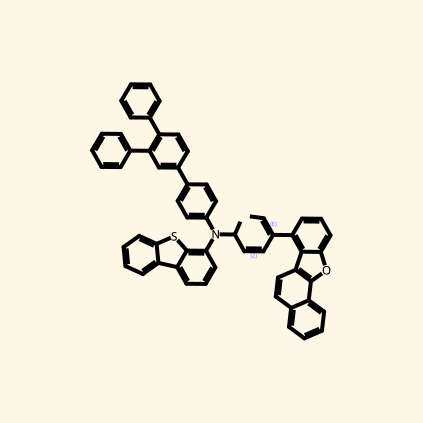 C/C=C(\C=C/C(C)N(c1ccc(-c2ccc(-c3ccccc3)c(-c3ccccc3)c2)cc1)c1cccc2c1sc1ccccc12)c1cccc2oc3c4ccccc4ccc3c12